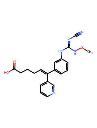 CONC(=NC#N)Nc1cccc(C(=CCCCC(=O)O)c2cccnc2)c1